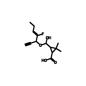 C#CC(OC(O)C1C(C(=O)O)C1(C)C)/C(F)=C/CC